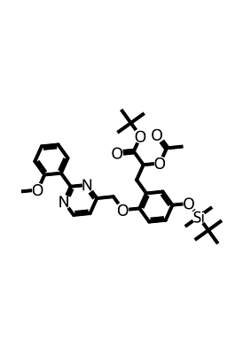 COc1ccccc1-c1nccc(COc2ccc(O[Si](C)(C)C(C)(C)C)cc2CC(OC(C)=O)C(=O)OC(C)(C)C)n1